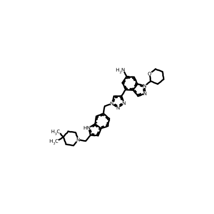 CC1(C)CCN(Cc2cc3ccc(Cn4cc(-c5cc(N)cc6c5cnn6C5CCCCO5)nn4)cc3[nH]2)CC1